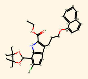 CCOC(=O)c1[nH]c2c(B3OC(C)(C)C(C)(C)O3)c(F)ccc2c1CCCOc1cccc2ccccc12